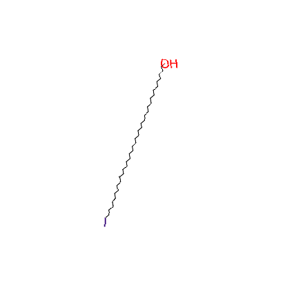 OCCCCCCCCCCCCCCCCCCCCCCCCCCCCCCCCCCCCCCCI